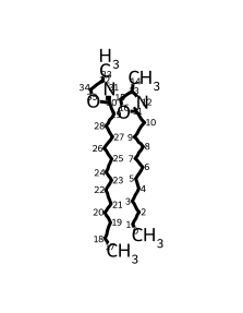 CCCCCCCCCCCC1=NC(C)CO1.CCCCCCCCCCCCCC1=NC(C)CO1